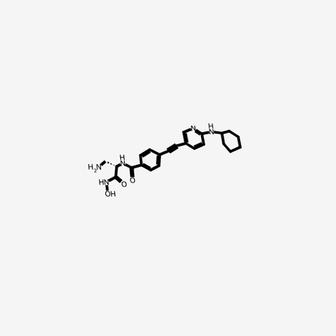 NC[C@H](NC(=O)c1ccc(C#Cc2ccc(NC3CCCCC3)nc2)cc1)C(=O)NO